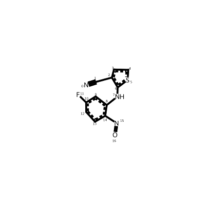 N#Cc1ccsc1Nc1cc(F)ccc1N=O